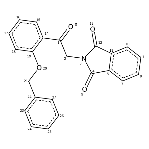 O=C(CN1C(=O)c2ccccc2C1=O)c1ccccc1OCc1ccccc1